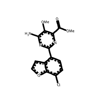 COC(=O)c1nc(-c2ccc(Cl)c3occc23)nc(N)c1OC